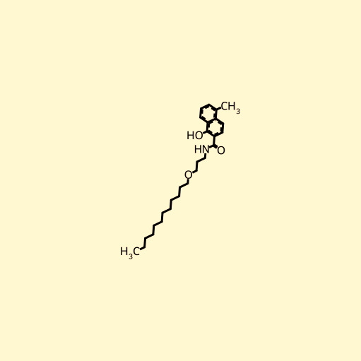 CCCCCCCCCCCCOCCCNC(=O)c1ccc2c(C)cccc2c1O